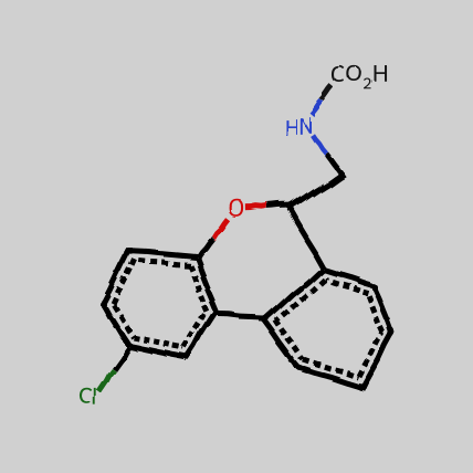 O=C(O)NCC1Oc2ccc(Cl)cc2-c2ccccc21